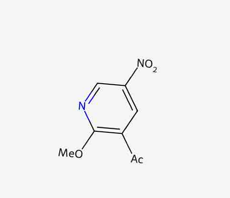 COc1ncc([N+](=O)[O-])cc1C(C)=O